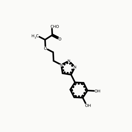 CC(OCCn1cc(-c2ccc(O)c(O)c2)nn1)C(=O)C=O